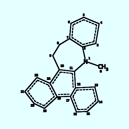 CN1c2ccccc2CCc2c1c1ccccc1c1ccccc21